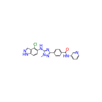 Cn1nc(-c2ccc(C(=O)Nc3cccnc3)cc2)nc1Nc1ccc2[nH]ncc2c1Cl